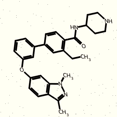 CCc1cc(-c2cccc(Oc3ccc4c(C)nn(C)c4c3)c2)ccc1C(=O)NC1CCNCC1